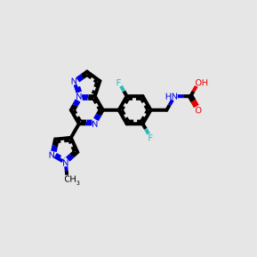 Cn1cc(-c2cn3nccc3c(-c3cc(F)c(CNC(=O)O)cc3F)n2)cn1